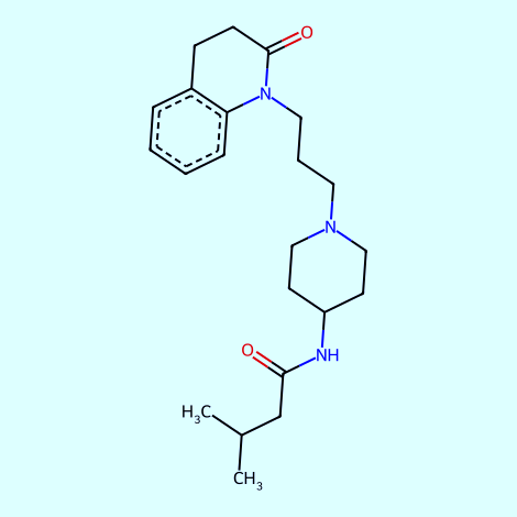 CC(C)CC(=O)NC1CCN(CCCN2C(=O)CCc3ccccc32)CC1